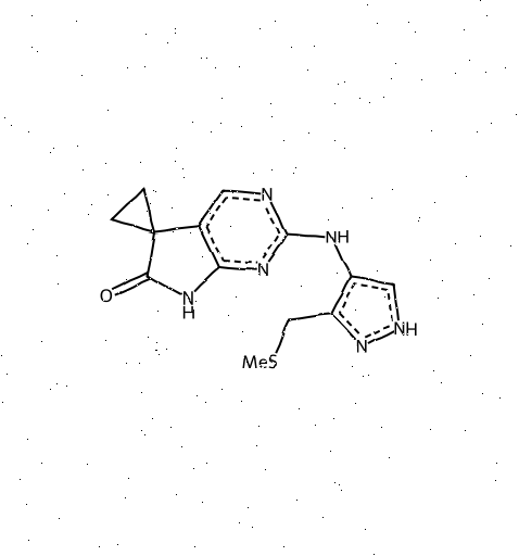 CSCc1n[nH]cc1Nc1ncc2c(n1)NC(=O)C21CC1